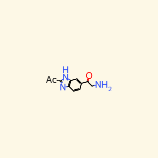 CC(=O)c1nc2ccc(C(=O)CN)cc2[nH]1